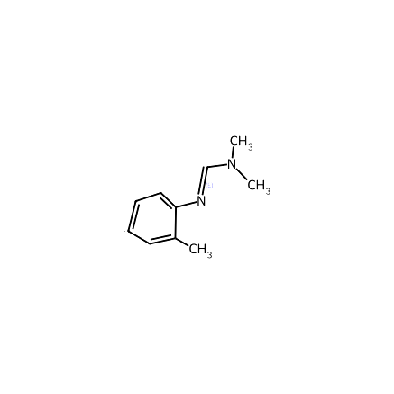 Cc1c[c]ccc1/N=C/N(C)C